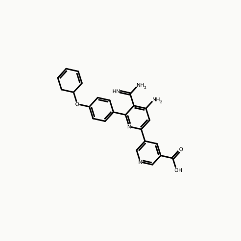 N=C(N)c1c(N)cc(-c2cncc(C(=O)O)c2)nc1-c1ccc(OC2C=CC=CC2)cc1